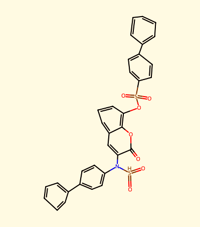 O=c1oc2c(OS(=O)(=O)c3ccc(-c4ccccc4)cc3)cccc2cc1N(c1ccc(-c2ccccc2)cc1)[SH](=O)=O